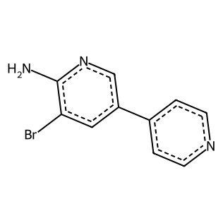 Nc1ncc(-c2ccncc2)cc1Br